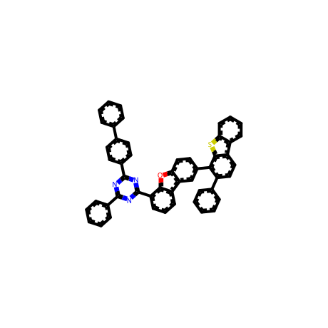 c1ccc(-c2ccc(-c3nc(-c4ccccc4)nc(-c4cccc5c4oc4ccc(-c6c(-c7ccccc7)ccc7c6sc6ccccc67)cc45)n3)cc2)cc1